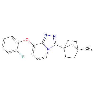 CC12CCC(c3nnc4c(Oc5ccccc5F)cccn34)(CC1)C2